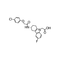 O=C(O)Cn1c2c(c3cc(F)ccc31)C[C@H](NC(=O)COc1ccc(Cl)cc1)CC2